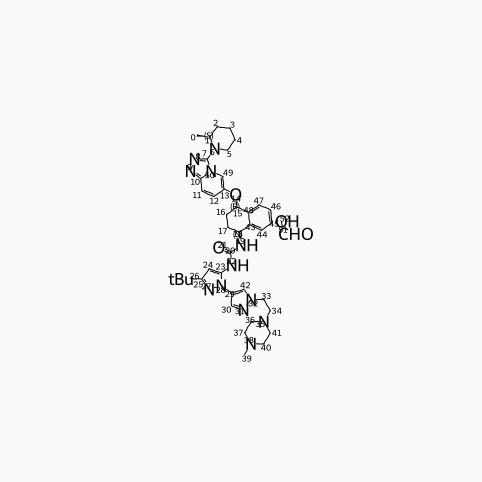 C[C@H]1CCCCN1c1nnc2ccc(O[C@@H]3CC[C@H](NC(=O)Nc4cc(C(C)(C)C)nn4-c4cnn(CCN5CCN(C)CC5)c4)c4ccccc43)cn12.O=CO